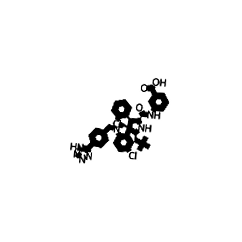 CC(C)(C)C[C@@H]1N[C@@H](C(=O)Nc2cccc(C(=O)O)c2)[C@H](c2ccccc2Cl)[C@]12CN(Cc1ccc(-c3nnn[nH]3)cc1)c1ccc(Cl)cc12